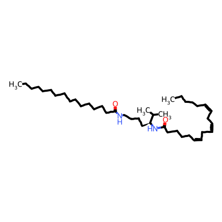 CCCCC/C=C\C/C=C\C/C=C\CCCCC(=O)N[C@@H](CCCCNC(=O)CCCCCCCCCCCCCCC)C(C)C